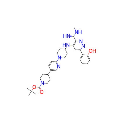 CNC(=N)c1nnc(-c2ccccc2O)cc1NC1CCN(c2ccc(C3CCN(C(=O)OC(C)(C)C)CC3)cn2)CC1